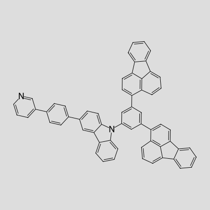 c1cncc(-c2ccc(-c3ccc4c(c3)c3ccccc3n4-c3cc(-c4ccc5c6c(cccc46)-c4ccccc4-5)cc(-c4ccc5c6c(cccc46)-c4ccccc4-5)c3)cc2)c1